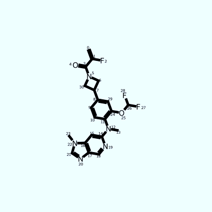 C=C(F)C(=O)N1CC(c2ccc(N(C)c3cc4c(cn3)ncn4C)c(OC(F)F)c2)C1